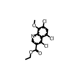 CCOC(=O)c1cnc2c(OC)c(Cl)cc(Cl)c2c1Cl